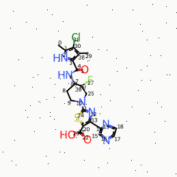 Cc1[nH]c(C(=O)N[C@@H]2CCN(c3nc(-c4cnccn4)c(C(=O)O)s3)C[C@@H]2F)c(C)c1Cl